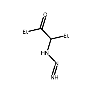 CCC(=O)C(CC)NN=N